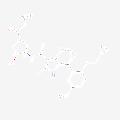 COCC(=O)N1C[C@H](O)[C@H](NC(=O)c2c(C)[nH]c3c(-c4cc(OC)ccc4OCC4CC4)ncnc23)C1